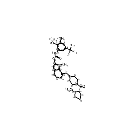 COc1c(N)cc(C(F)(F)F)cc1NC(=O)Oc1cc2cccc(CN3CCN(C(=O)[C@@H]4CCCN4C)CC3)c2n1C